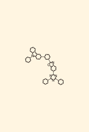 c1ccc(-c2nc(-c3ccccc3)nc(-c3ccc4nc(-c5cccc(-c6ccc7c(c6)c6ccccc6n7-c6ccccc6)c5)oc4c3)n2)cc1